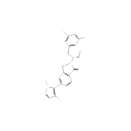 Cn1ncc(Br)c1-c1ccc2c(c1)CN([C@H](CN)Cc1cc(F)cc(F)c1)C2=O